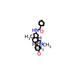 CN1C[C@@H]2[C@@H](CC[C@]3(C)CC(NC(=O)c4ccccc4)C[C@@H]23)[C@@]2(C)CCC(=O)C=C12